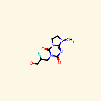 CN1CCn2c1nc(=O)n(CC(F)CO)c2=O